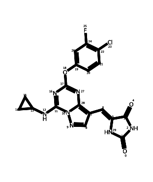 O=C1NC(=O)/C(=C/c2cnn3c(NC4CC4)nc(Oc4ccc(Cl)c(F)c4)nc23)N1